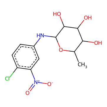 CC1OC(Nc2ccc(Cl)c([N+](=O)[O-])c2)C(O)C(O)C1O